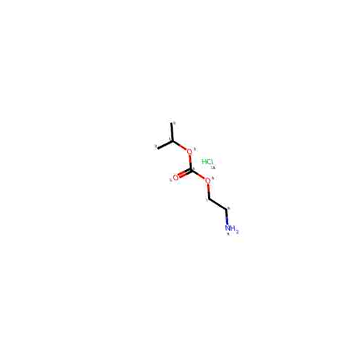 CC(C)OC(=O)OCCN.Cl